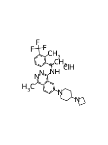 Cc1c([C@@H](C)Nc2nnc(C)c3ccc(N4CCC(N5CCC5)CC4)cc23)cccc1C(F)(F)F.Cl